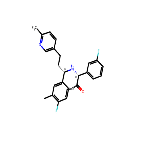 CNC(=O)[C@H](N[C@@H](CCc1ccc(C(F)(F)F)nc1)c1ccc(F)c(C)c1)c1cccc(F)c1